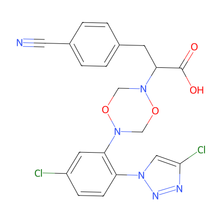 N#Cc1ccc(CC(C(=O)O)N2CON(c3cc(Cl)ccc3-n3cc(Cl)nn3)CO2)cc1